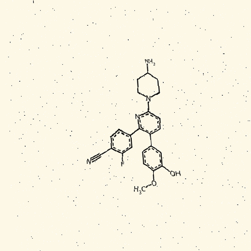 COc1ccc(-c2ccc(N3CCC(N)CC3)nc2-c2ccc(C#N)c(F)c2)cc1O